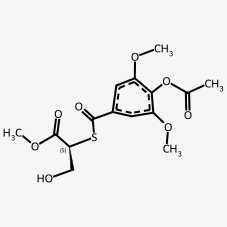 COC(=O)[C@H](CO)SC(=O)c1cc(OC)c(OC(C)=O)c(OC)c1